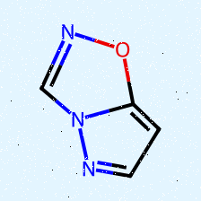 c1cc2oncn2n1